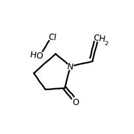 C=CN1CCCC1=O.OCl